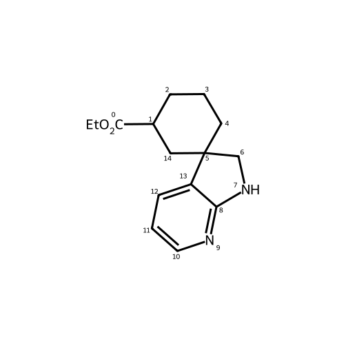 CCOC(=O)C1CCCC2(CNc3ncccc32)C1